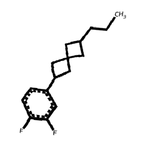 CCCC1CC2(C1)CC(c1ccc(F)c(F)c1)C2